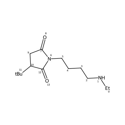 CCNCCCCN1C(=O)CC(C(C)(C)C)C1=O